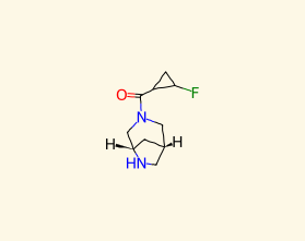 O=C(C1CC1F)N1C[C@@H]2CN[C@@H](C2)C1